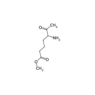 COC(=O)CCCC(N)C(C)=O